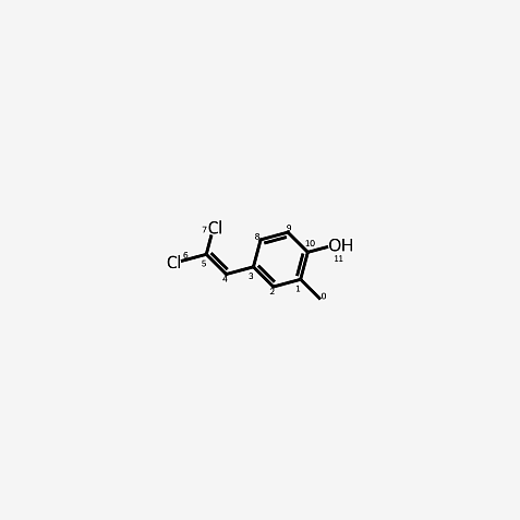 Cc1cc(C=C(Cl)Cl)ccc1O